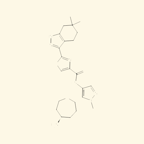 Cn1ncc(NC(=O)c2csc(-c3n[nH]c4c3CCC(C)(C)C4)n2)c1[C@@H]1CC[C@@H](N)[C@H](F)CO1